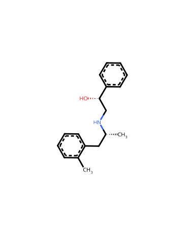 Cc1ccccc1C[C@@H](C)NC[C@H](O)c1ccccc1